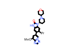 COc1cc(-c2cc3[nH]c(=O)n([C@H]4CCCN(C5CCOCC5)C4)c3cc2C(C)C)cn2ncnc12